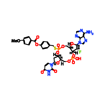 COc1ccc(C(=O)Oc2ccc(CSP3(=O)OC[C@H]4O[C@@H](n5cnc6c(N)ncnc65)[C@H](F)[C@@H]4OP(=O)(O)OC[C@H]4O[C@@H](n5ccc(=O)[nH]c5=O)C[C@@H]4O3)cc2)cc1